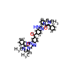 CCCN(Cc1nc2ccc(C(=O)c3ccc4nc([C@@H]5CCCN5C(=O)[C@@H](c5ccccc5)N(C)C)[nH]c4c3)cc2[nH]1)C(=O)[C@@H](c1ccccc1)N(C)C